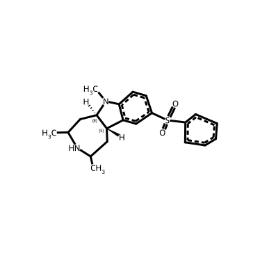 CC1C[C@@H]2[C@@H](CC(C)N1)c1cc(S(=O)(=O)c3ccccc3)ccc1N2C